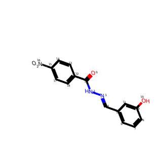 O=C(NN=Cc1cccc(O)c1)c1ccc([N+](=O)[O-])cc1